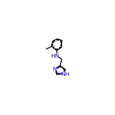 Cc1ccccc1NCc1c[nH]cn1